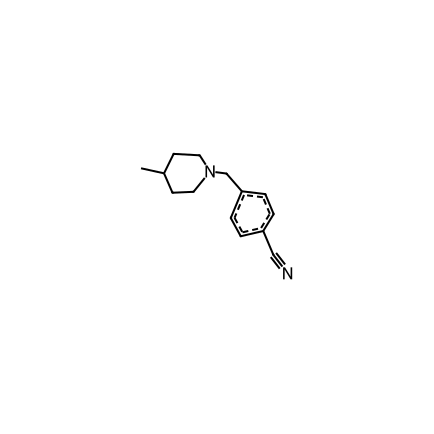 CC1CCN(Cc2ccc(C#N)cc2)CC1